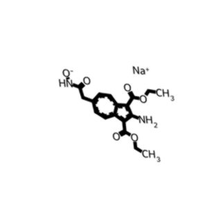 CCOC(=O)c1c2ccc(CC(=O)N[O-])ccc-2c(C(=O)OCC)c1N.[Na+]